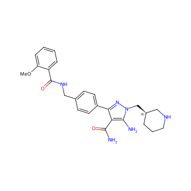 COc1ccccc1C(=O)NCc1ccc(-c2nn(C[C@@H]3CCCNC3)c(N)c2C(N)=O)cc1